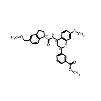 COCc1ccc2c(c1)CC[C@@H]2C(=O)N[C@@H]1C[C@H](c2cccc(C(=O)OC)c2)Oc2cc(OC)ccc21